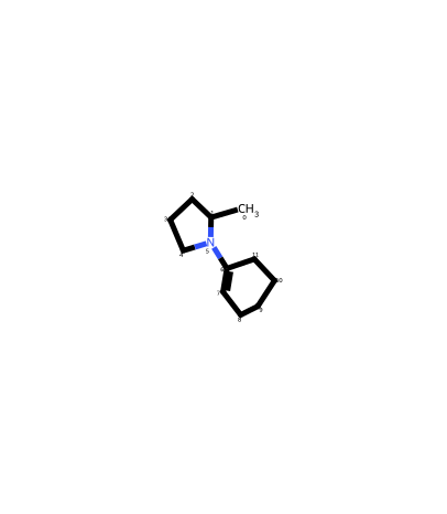 CC1CCCN1C1=CCCCC1